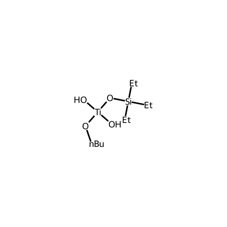 CCCC[O][Ti]([OH])([OH])[O][Si](CC)(CC)CC